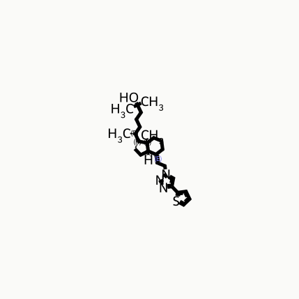 C[C@H](CCCC(C)(C)O)[C@H]1CC[C@H]2/C(=C/Cn3cc(-c4cccs4)nn3)CCC[C@]12C